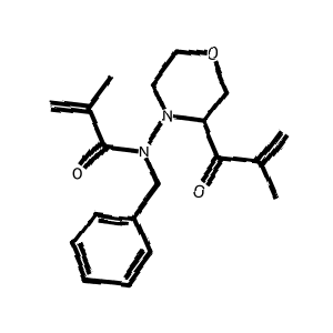 C=C(C)C(=O)C1COCCN1N(Cc1ccccc1)C(=O)C(=C)C